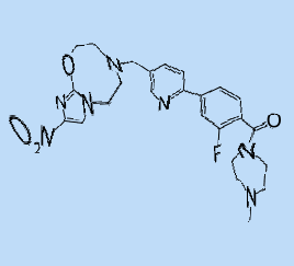 CN1CCN(C(=O)c2ccc(-c3ccc(CN4CCOc5nc([N+](=O)[O-])cn5CC4)cn3)cc2F)CC1